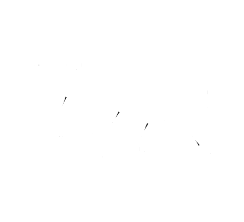 CC1(C)CC[C@]2(C(=O)O)CC[C@]3(C)C(=CCC4[C@@]5(C)CC[C@@H]([C@H](O)[C@@H]6OC(C(=O)O)[C@@H](O)C(O)C6O)C(C)(C)C5CC[C@]43C)C2C1